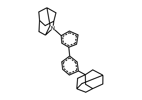 c1cc(-c2cccc(C34CC5CC(CC(C5)C3)C4)c2)cc(N2C3CC4CC(C3)CC2C4)c1